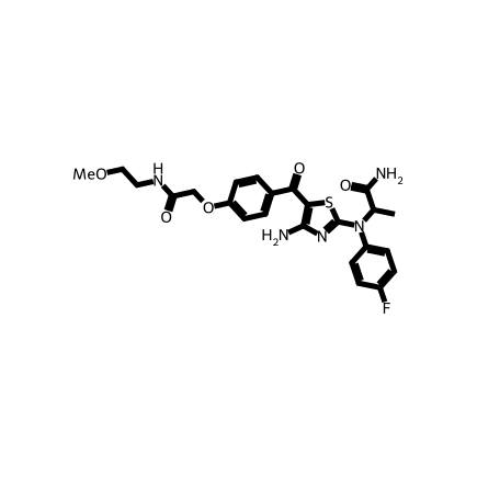 COCCNC(=O)COc1ccc(C(=O)c2sc(N(c3ccc(F)cc3)C(C)C(N)=O)nc2N)cc1